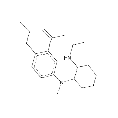 C=C(C)c1cc(N(C)C2CCCCC2NCC)ccc1CCC